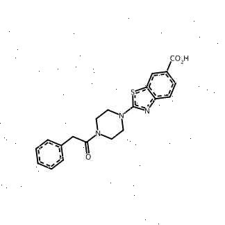 O=C(O)c1ccc2nc(N3CCN(C(=O)Cc4ccccc4)CC3)sc2c1